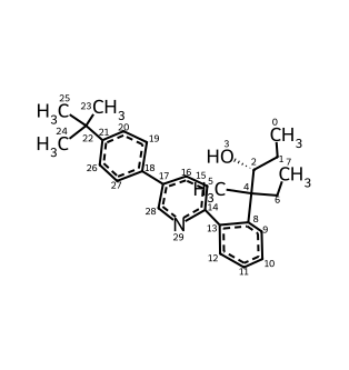 CC[C@@H](O)C(C)(CC)c1ccccc1-c1ccc(-c2ccc(C(C)(C)C)cc2)cn1